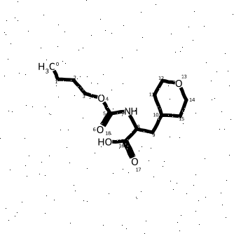 CCCCOC(=O)NC(CC1CCOCC1)C(=O)O